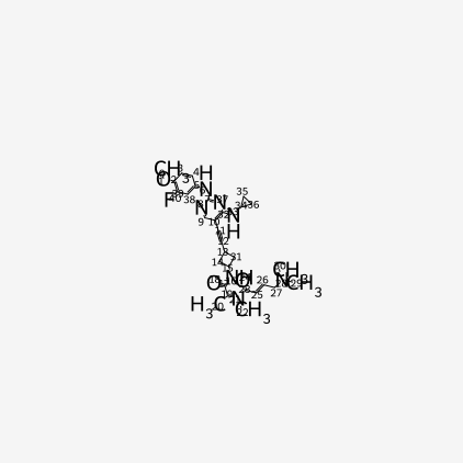 COc1ccc(Nc2ncc(C#CC3CC(NC(=O)C(C)N(C)C(=O)C=CCN(C)C)C3)c(NC3CC3)n2)cc1F